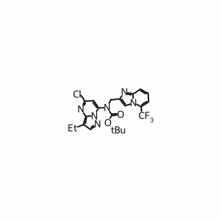 CCc1cnn2c(N(Cc3cn4c(C(F)(F)F)cccc4n3)C(=O)OC(C)(C)C)cc(Cl)nc12